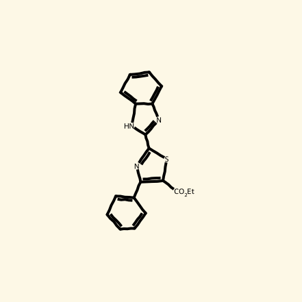 CCOC(=O)c1sc(-c2nc3ccccc3[nH]2)nc1-c1ccccc1